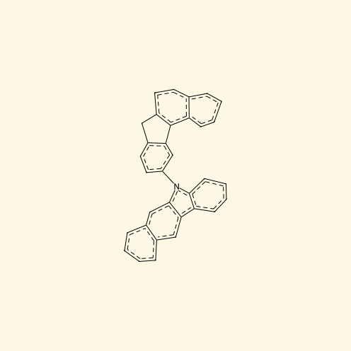 c1ccc2cc3c(cc2c1)c1ccccc1n3-c1ccc2c(c1)-c1c(ccc3ccccc13)C2